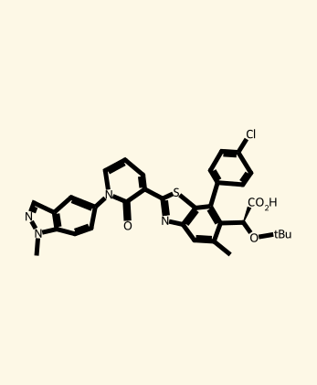 Cc1cc2nc(-c3cccn(-c4ccc5c(cnn5C)c4)c3=O)sc2c(-c2ccc(Cl)cc2)c1[C@H](OC(C)(C)C)C(=O)O